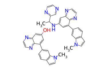 CC(Nc1cc(-c2ccc3ccn(C)c3c2)c2nccnc2c1)c1cnccn1.Cn1ccc2ccc(-c3cc(O)cc4nccnc34)cc21